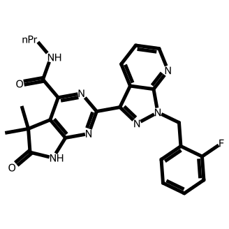 CCCNC(=O)c1nc(-c2nn(Cc3ccccc3F)c3ncccc23)nc2c1C(C)(C)C(=O)N2